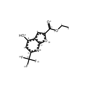 CCOC(=O)c1cc2c(O)cc(C(F)(F)F)nc2o1